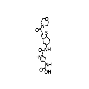 Cn1cc(NC(=O)O)cc1C(=O)Nc1ccc2sc(C(=O)N3CCOCC3)cc2c1